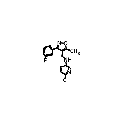 Cc1onc(-c2cccc(F)c2)c1CNc1ccc(Cl)nn1